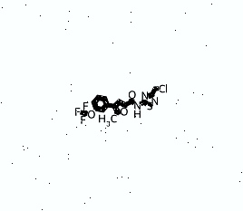 Cc1oc(C(=O)Nc2nc(CCl)ns2)cc1-c1cccc(OC(F)(F)F)c1